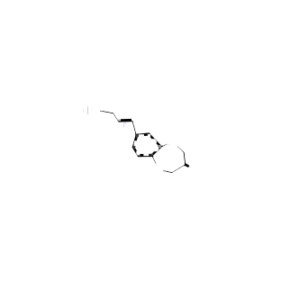 CC(C)(C)C/C=C/c1ccc2c(c1)OCC(=O)CO2